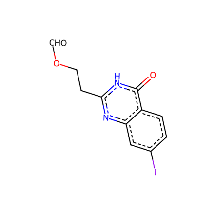 O=COCCc1nc2cc(I)ccc2c(=O)[nH]1